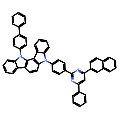 c1ccc(-c2ccc(-n3c4ccccc4c4ccc5c(c6ccccc6n5-c5ccc(-c6nc(-c7ccccc7)cc(-c7ccc8ccccc8c7)n6)cc5)c43)cc2)cc1